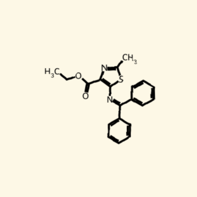 CCOC(=O)c1nc(C)sc1N=C(c1ccccc1)c1ccccc1